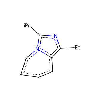 CCc1nc(C(C)C)n2ccccc12